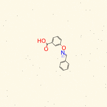 O=C(O)c1cccc(O/N=C/c2ccccc2)c1